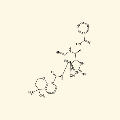 CC1(C)CCOc2c(C(=O)NC3CN4C(=N)N[C@@H](CNC(=O)c5cccnc5)C5NC(=N)N[C@@]54C3(O)O)cccc21